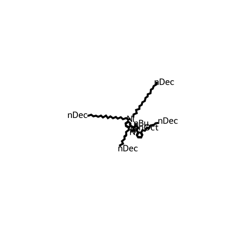 CCCCCCCCCCCCCCC=CCCc1ccccc1C1=C(CCCC)C(CCCCCCCC)=C(c2ccccc2CCC=CCCCCCCCCCCCCCC)[N+]1=[N-].CCCCCCCCCCCCCCCCCCCCCCCCCC[CH2][Ni][CH2]CCCCCCCCCCCCCCCCCCCCCCCCCC